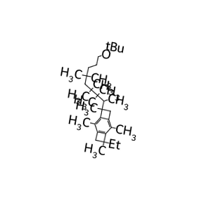 CCC1(C)Cc2c(C)c3c(c(C)c21)CC3(C)C(C)C(C)(C)C(C)(C)CC(C)(C)CCCOC(C)(C)C